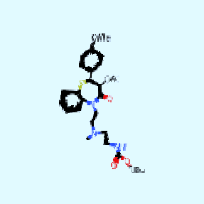 COc1ccc([C@@H]2Sc3ccccc3N(CCN(C)CCNC(=O)OC(C)(C)C)C(=O)[C@@H]2OC(C)=O)cc1